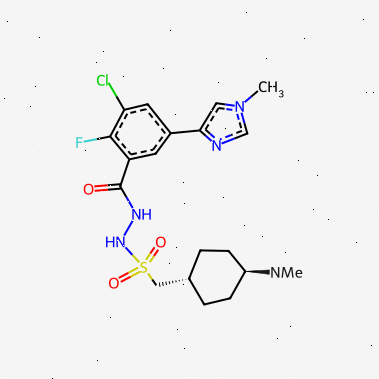 CN[C@H]1CC[C@H](CS(=O)(=O)NNC(=O)c2cc(-c3cn(C)cn3)cc(Cl)c2F)CC1